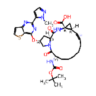 Cn1nccc1-c1nc(O[C@@H]2C[C@H]3C(=O)N[C@]4(C(=O)O)C[C@H]4/C=C\CCCCC[C@H](NC(=O)OC(C)(C)C)C(=O)N3C2)c2sccc2n1